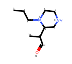 CCCN1CCNCC1C(C)C=O